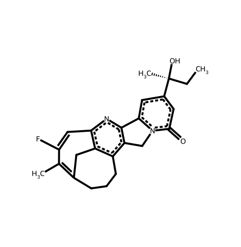 CC[C@](C)(O)c1cc2n(c(=O)c1)Cc1c-2nc2c3c1CCCC(=C(C)C(F)=C2)C3